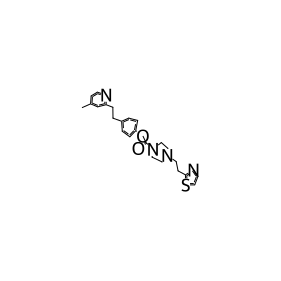 Cc1ccnc(CCc2ccc(OC(=O)N3CCN(CCc4nccs4)CC3)cc2)c1